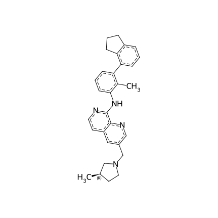 Cc1c(Nc2nccc3cc(CN4CC[C@@H](C)C4)cnc23)cccc1-c1cccc2c1CCC2